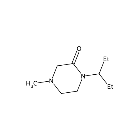 CCC(CC)N1CCN(C)CC1=O